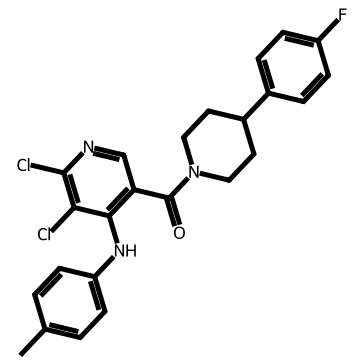 Cc1ccc(Nc2c(C(=O)N3CCC(c4ccc(F)cc4)CC3)cnc(Cl)c2Cl)cc1